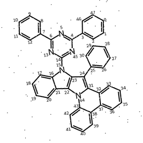 c1ccc(-c2nc(-c3ccccc3)nc(-n3c4ccccc4c4c3c(-c3ccccc3)c3c5ccccc5c5ccccc5n34)n2)cc1